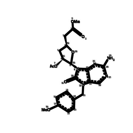 COC(=O)C[C@@H]1C[C@@H](OC(C)=O)[C@H](n2c(=O)n(Cc3ccc(OC)cc3)c3cnc(N)nc32)O1